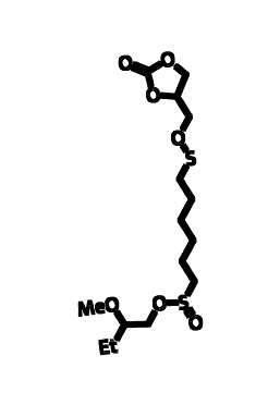 CCC(COS(=O)CCCCCCSOCC1COC(=O)O1)OC